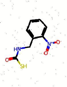 O=C(S)NCc1ccccc1[N+](=O)[O-]